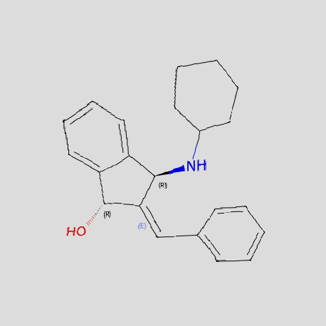 O[C@H]1/C(=C/c2ccccc2)[C@H](NC2CCCCC2)c2ccccc21